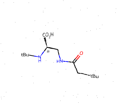 CC(C)(C)CC(=O)NC[C@@H](NC(C)(C)C)C(=O)O